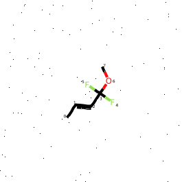 C/C=C/C(F)(F)OC